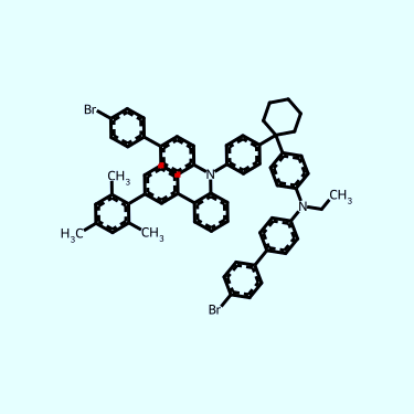 CCN(c1ccc(-c2ccc(Br)cc2)cc1)c1ccc(C2(c3ccc(N(c4ccc(-c5ccc(Br)cc5)cc4)c4ccccc4-c4cccc(-c5c(C)cc(C)cc5C)c4)cc3)CCCCC2)cc1